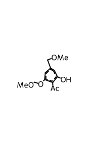 COCOc1cc(COC)cc(O)c1C(C)=O